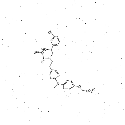 CN(c1ccc(CCN(C[C@@H](O)c2cccc(Cl)c2)C(=O)OC(C)(C)C)cc1)c1ccc(OCC(=O)O)cc1